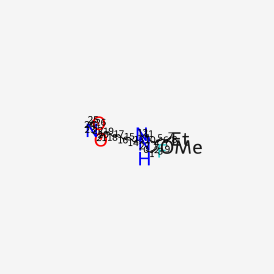 C\C=C(F)/C(=C\C(=C\CC)OC)c1cnc(CCCCCCC(=O)c2ncco2)[nH]1